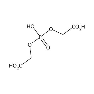 O=C(O)COP(=O)(O)OCC(=O)O